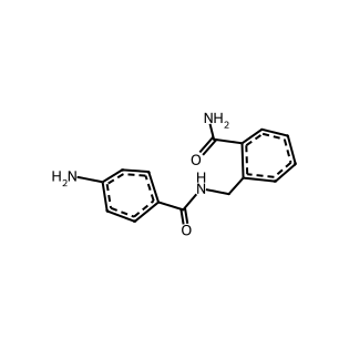 NC(=O)c1ccccc1CNC(=O)c1ccc(N)cc1